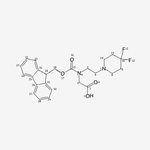 O=C(O)CN(CCN1CCC(F)(F)CC1)C(=O)OCC1c2ccccc2-c2ccccc21